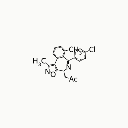 CC(=O)C[C@@H]1N=C(c2ccc(Cl)cc2)c2c(C)cccc2-c2c(C)noc21